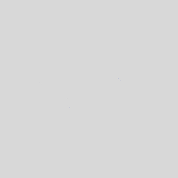 CC1CCN(C(=O)[C@]23C[C@H]2[C@@](C)(c2cc(C=C(F)c4ccc(C#N)cn4)ccc2F)N=C(N)S3)CC1